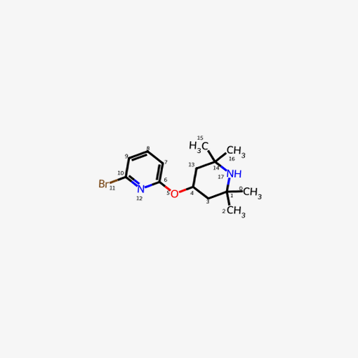 CC1(C)CC(Oc2cccc(Br)n2)CC(C)(C)N1